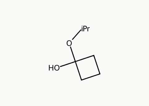 CC(C)OC1(O)CCC1